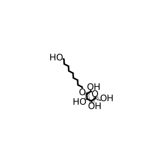 OCCCCCCCCCO[C@@H]1C(O)O[C@H](CO)[C@@H](O)[C@@H]1O